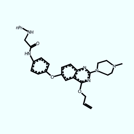 C=CCOc1nc(N2CCN(C)CC2)nc2ccc(Oc3ccc(NC(=O)CNCCC)cc3)cc12